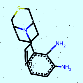 C=CCN1C2CSCC1CC(c1cccc(N)c1N)C2